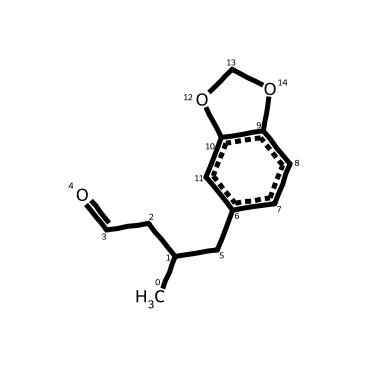 CC(CC=O)Cc1ccc2c(c1)OCO2